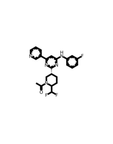 CC(=O)N1C[C@H](c2nc(Nc3cccc(F)c3)cc(-c3cccnc3)n2)CCC1C(F)F